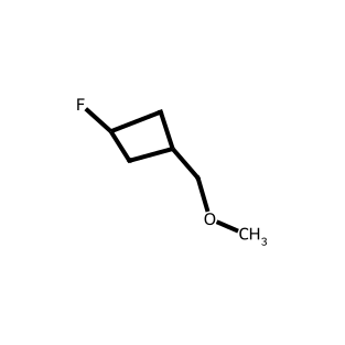 COCC1CC(F)C1